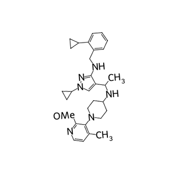 COc1nccc(C)c1N1CCC(NC(C)c2cn(C3CC3)nc2NCc2ccccc2C2CC2)CC1